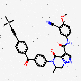 COc1ccc(NC(=O)c2cnn3c2C(=O)N(c2ccc(C(=O)c4ccc(C#C[Si](C)(C)C)cc4)cc2)C(C)C3)cc1C#N